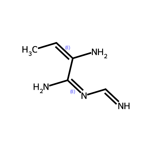 C/C=C(N)\C(N)=N/C=N